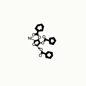 N#C[C@H]1O[C@@H](COC(=O)c2ccccc2)[C@H](OC(=O)c2ccccc2)[C@@H]1OC(=O)c1ccccc1